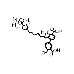 Cc1c(C(=O)O)ccc(-c2ccc(C=O)c(C(=O)O)c2)c1CCCCCCCC1=CCC(C(C)(C)C)CC1